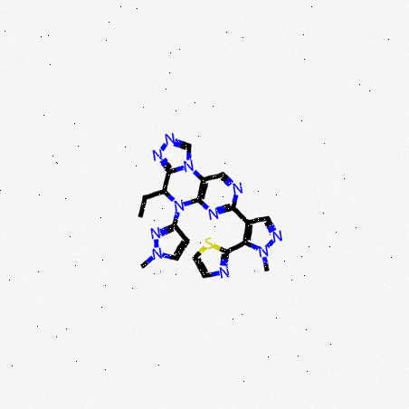 CCC1c2nncn2-c2cnc(-c3cnn(C)c3-c3nccs3)nc2N1c1ccn(C)n1